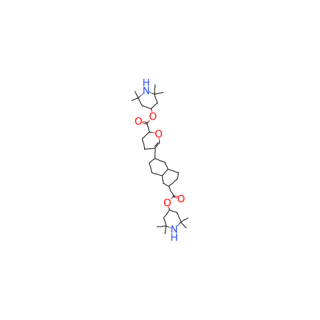 CC1(C)CC(OC(=O)C2CCC3CC(C4=COC(C(=O)OC5CC(C)(C)NC(C)(C)C5)CC4)CCC3C2)CC(C)(C)N1